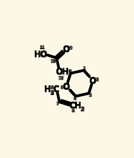 C1COCCO1.C=CC.O=C(O)O